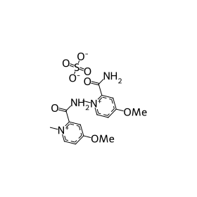 COc1cc[n+](C)c(C(N)=O)c1.COc1cc[n+](C)c(C(N)=O)c1.O=S(=O)([O-])[O-]